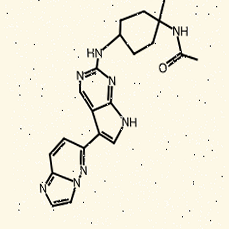 CC(=O)NC1(C)CCC(Nc2ncc3c(-c4ccc5nccn5n4)c[nH]c3n2)CC1